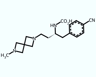 CN1CC2(C1)CN(CC[C@@H](Cc1ccc(C#N)cc1)NC(=O)O)C2